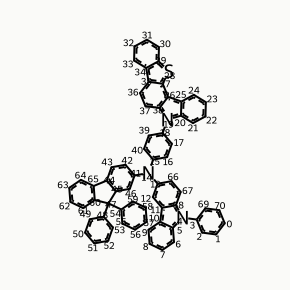 c1ccc(-n2c3ccccc3c3cc(N(c4ccc(-n5c6ccccc6c6c7sc8ccccc8c7ccc65)cc4)c4ccc5c(c4)C(c4ccccc4)(c4ccccc4)c4ccccc4-5)ccc32)cc1